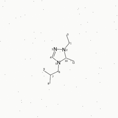 CCN1N=CN(CC(C)C)C1C